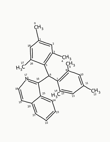 Cc1cc(C)c(C(c2c(C)cc(C)cc2C)c2nccc3ccccc23)c(C)c1